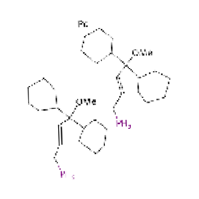 COC(C=CCP)(C1CCCCC1)C1CCCCC1.COC(C=CCP)(C1CCCCC1)C1CCCCC1.[Pd]